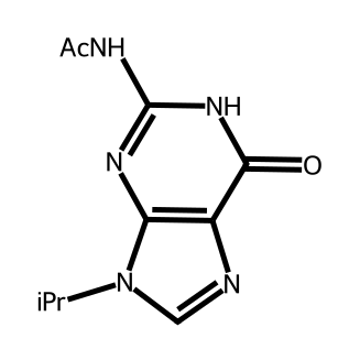 CC(=O)Nc1nc2c(ncn2C(C)C)c(=O)[nH]1